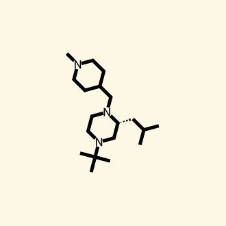 CC(C)C[C@@H]1CN(C(C)(C)C)CCN1CC1CCN(C)CC1